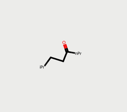 [CH2]C(C)CCC(=O)CCC